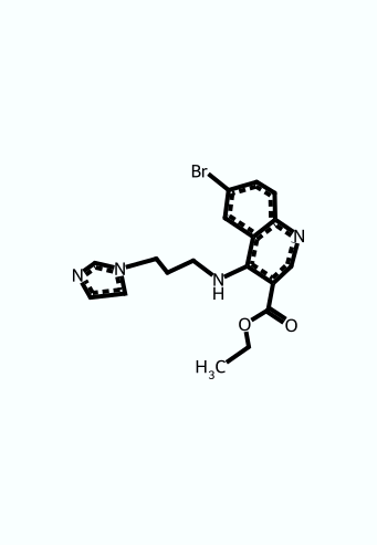 CCOC(=O)c1cnc2ccc(Br)cc2c1NCCCn1ccnc1